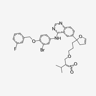 CC(C)C(COCCCC1(c2ccc3ncnc(Nc4ccc(OCc5cccc(F)c5)c(Br)c4)c3c2)CC=CO1)=S(=O)=O